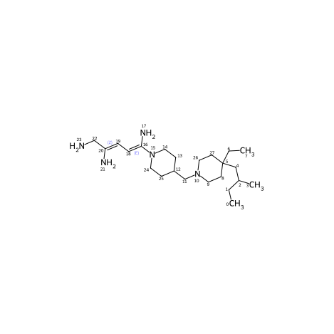 CCC(C)CC1(CC)CCN(CC2CCN(/C(N)=C/C=C(\N)CN)CC2)CC1